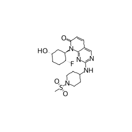 CS(=O)(=O)N1CCC(Nc2ncc3ccc(=O)n([C@@H]4C[C@@H](O)CC[C@H]4F)c3n2)CC1